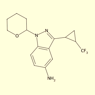 Nc1ccc2c(c1)c(C1CC1C(F)(F)F)nn2C1CCCCO1